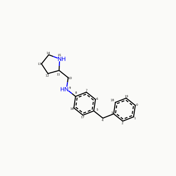 c1ccc(Cc2ccc(NCC3CCCN3)cc2)cc1